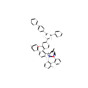 C=C/C=C(\C=C/C)c1cccc2oc3cccc(-n4c5ccccc5c5c(-c6ccc(-c7nc(-c8ccccc8)nc(-c8ccc(-c9ccccc9)cc8)n7)cc6OC)c(-c6ccccc6)ccc54)c3c12